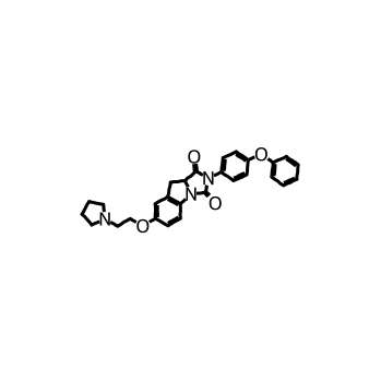 O=C1C2Cc3cc(OCCN4CCCC4)ccc3N2C(=O)N1c1ccc(Oc2ccccc2)cc1